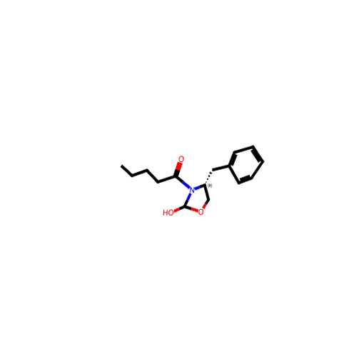 CCCCC(=O)N1C(O)OC[C@H]1Cc1ccccc1